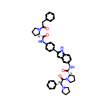 O=C(Nc1ccc(-c2cc3cc(NC(=O)[C@@H]4CCCN4C(=O)[C@@H](c4ccccc4)N4CCCC4)ccc3[nH]2)cc1)[C@@H]1CCCN1C(=O)Cc1ccccc1